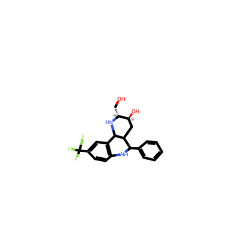 OC[C@H]1NC2c3cc(C(F)(F)F)ccc3NC(c3ccccc3)C2C[C@@H]1O